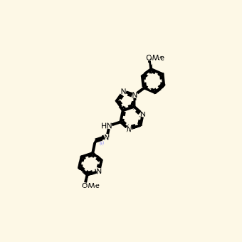 COc1cccc(-n2ncc3c(N/N=C/c4ccc(OC)nc4)ncnc32)c1